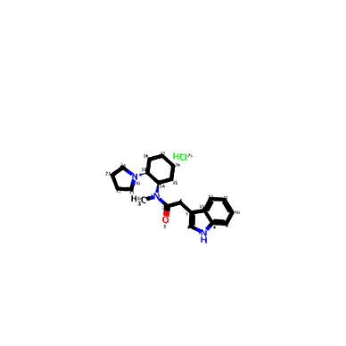 CN(C(=O)Cc1c[nH]c2ccccc12)[C@@H]1CCCC[C@H]1N1CCCC1.Cl